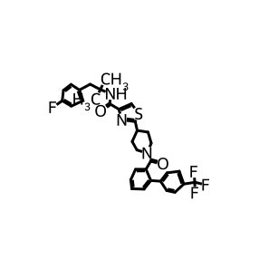 CC(C)(Cc1ccc(F)cc1)NC(=O)c1csc(C2CCN(C(=O)c3ccccc3-c3ccc(C(F)(F)F)cc3)CC2)n1